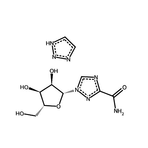 NC(=O)c1ncn([C@@H]2O[C@H](CO)[C@@H](O)[C@H]2O)n1.c1c[nH]nn1